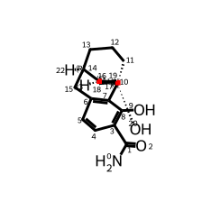 NC(=O)c1ccc2c(c1O)[C@]13CCC[C@H](C2)[C@@H]1CC[C@@H](O)C3